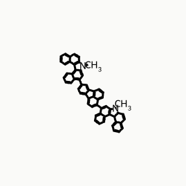 CN1c2cc(-c3ccc4c5c(cccc35)-c3cc(-c5cc6c(c7ccccc57)c5c7ccccc7ccc5n6C)ccc3-4)c3ccccc3c2C2c3ccccc3C=CC21